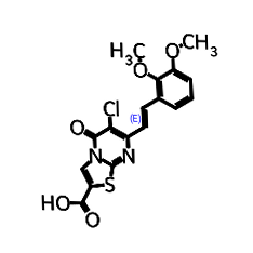 COc1cccc(/C=C/c2nc3sc(C(=O)O)cn3c(=O)c2Cl)c1OC